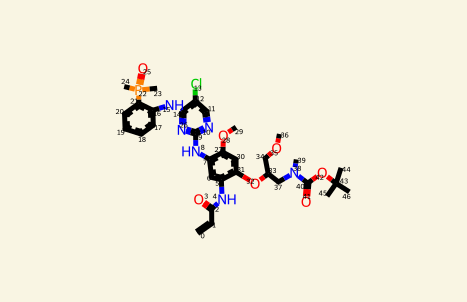 C=CC(=O)Nc1cc(Nc2ncc(Cl)c(Nc3ccccc3P(C)(C)=O)n2)c(OC)cc1OC(COC)CN(C)C(=O)OC(C)(C)C